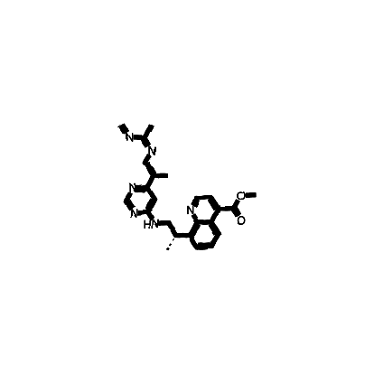 C=N/C(C)=N\C=C(/C)c1cc(NC[C@@H](C)c2cccc3c(C(=O)OC)ccnc23)ncn1